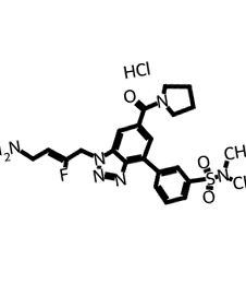 CN(C)S(=O)(=O)c1cccc(-c2cc(C(=O)N3CCCC3)cc3c2nnn3C/C(F)=C/CN)c1.Cl